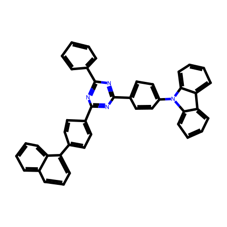 c1ccc(-c2nc(-c3ccc(-c4cccc5ccccc45)cc3)nc(-c3ccc(-n4c5ccccc5c5ccccc54)cc3)n2)cc1